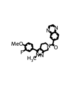 COc1ccc(-c2c3c(nn2C)CN(C(=O)c2ccc4nccnc4c2)CC3)cc1F